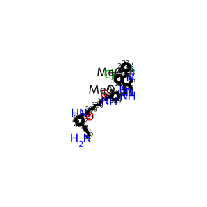 COc1cc(Nc2ncc3c(n2)-c2ccc(Cl)cc2C(c2c(F)cccc2OC)=NC3)ccc1C(=O)NCCCCCC(=O)Nc1cccc(C#CCN)c1